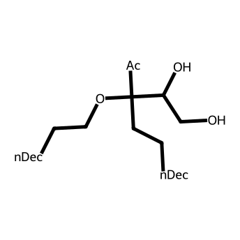 CCCCCCCCCCCCOC(CCCCCCCCCCCC)(C(C)=O)C(O)CO